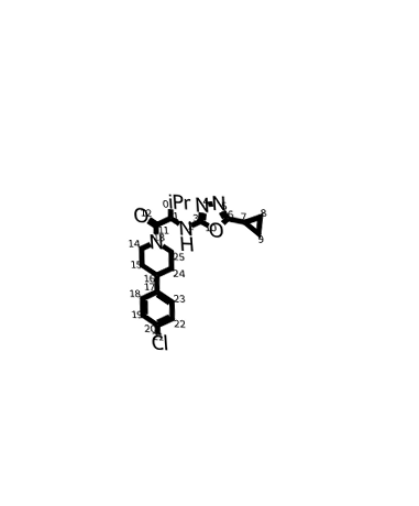 CC(C)C(Nc1nnc(C2CC2)o1)C(=O)N1CCC(c2ccc(Cl)cc2)CC1